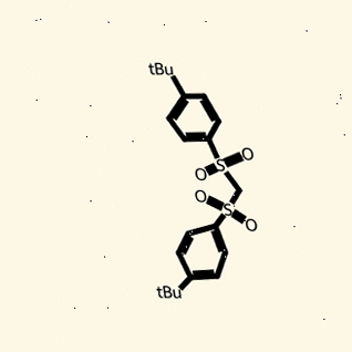 CC(C)(C)c1ccc(S(=O)(=O)CS(=O)(=O)c2ccc(C(C)(C)C)cc2)cc1